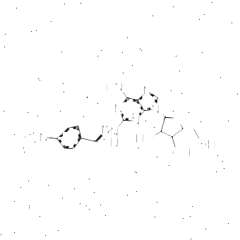 Nc1nc(NN=Cc2ccc([N+](=O)[O-])cc2)nc2c1ncn2[C@@H]1O[C@H](CO)C(O)C1O